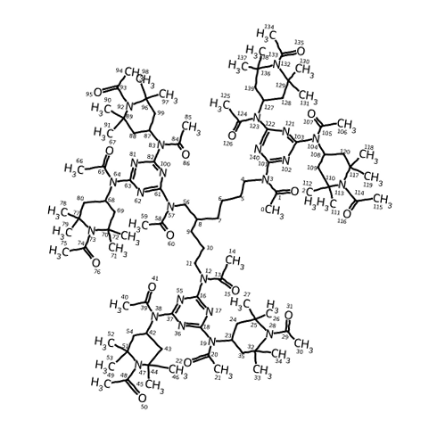 CC(=O)N(CCCCC(CCCN(C(C)=O)c1nc(N(C(C)=O)C2CC(C)(C)N(C(C)=O)C(C)(C)C2)nc(N(C(C)=O)C2CC(C)(C)N(C(C)=O)C(C)(C)C2)n1)CN(C(C)=O)c1nc(N(C(C)=O)C2CC(C)(C)N(C(C)=O)C(C)(C)C2)nc(N(C(C)=O)C2CC(C)(C)N(C(C)=O)C(C)(C)C2)n1)c1nc(N(C(C)=O)C2CC(C)(C)N(C(C)=O)C(C)(C)C2)nc(N(C(C)=O)C2CC(C)(C)N(C(C)=O)C(C)(C)C2)n1